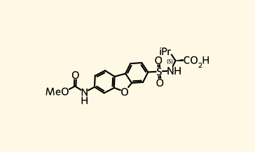 COC(=O)Nc1ccc2c(c1)oc1cc(S(=O)(=O)N[C@H](C(=O)O)C(C)C)ccc12